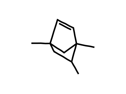 CC1CC2(C)C=CC1(C)C2